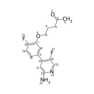 CC(=O)CCCOc1cc(-c2cc(N)ncc2F)ccc1F